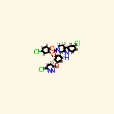 O=C(Oc1ccc(Cl)cc1)N1CCc2c([nH]c3ccc(Cl)cc23)[C@@H]1c1ccc(Oc2ccc(Cl)nn2)cc1